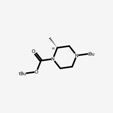 CCC(C)N1CCN(C(=O)OC(C)(C)C)[C@H](C)C1